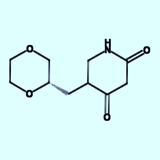 O=C1CC(=O)C(C[C@H]2COCCO2)CN1